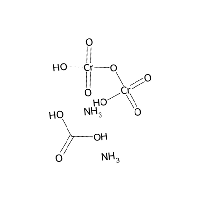 N.N.O=C(O)O.[O]=[Cr](=[O])([OH])[O][Cr](=[O])(=[O])[OH]